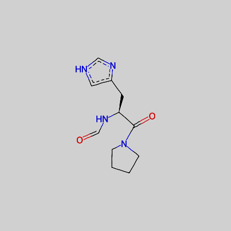 O=CN[C@@H](Cc1c[nH]cn1)C(=O)N1CCCC1